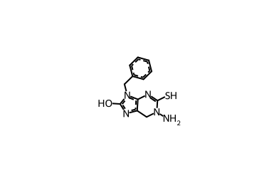 NN1Cc2nc(O)n(Cc3ccccc3)c2N=C1S